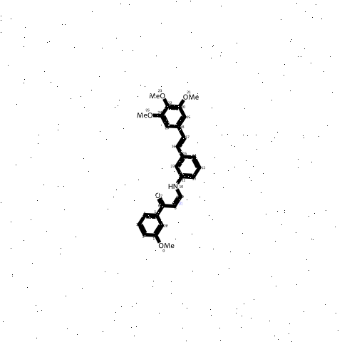 COc1cccc(C(=O)/C=C\Nc2cccc(C=Cc3cc(OC)c(OC)c(OC)c3)c2)c1